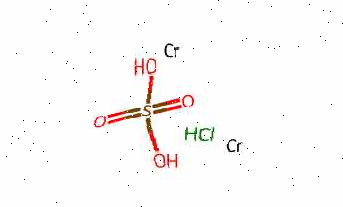 Cl.O=S(=O)(O)O.[Cr].[Cr]